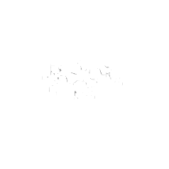 C[C@@H]1CN=C2N(Cc3cnn(C)c3)C(=O)c3cc(S(=O)(=O)NC4(C)CC4)cc(C#N)c3N21